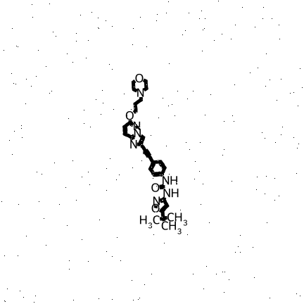 CC(C)(C)c1cc(NC(=O)Nc2ccc(C#Cc3cn4nc(OCCCN5CCOCC5)ccc4n3)cc2)no1